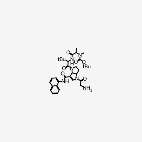 CC(C(=O)NC(C(=O)N1CCC2C1C(C(=O)Nc1cccc3ccccc13)=CN2C(=O)CN)C(C)(C)C)N(C)C(=O)OC(C)(C)C